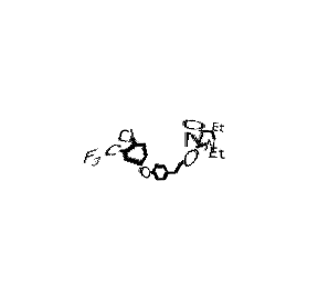 CCc1cn(CC)c(OCCc2ccc(Oc3ccc(Cl)c(C(F)(F)F)c3)cc2)nc1=O